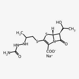 CC(CSC1=C(C(=O)[O-])N2C(=O)[C@H](C(C)O)[C@H]2S1)NNC(N)=O.[Na+]